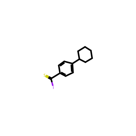 S=C(I)c1ccc(C2CCCCC2)cc1